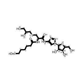 CCCCCCCCCCCCCCCC(=O)NC(CSCC(O)CO)C(=O)Nc1cn([C@H]2OC(CO)[C@@H](O)[C@H]2O)nn1